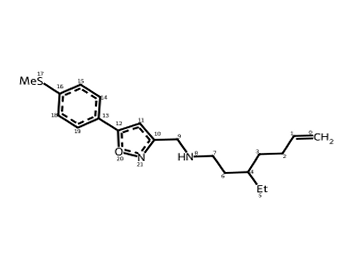 C=CCCC(CC)CCNCc1cc(-c2ccc(SC)cc2)on1